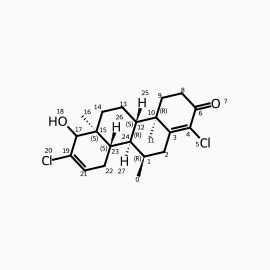 C[C@@H]1CC2=C(Cl)C(=O)CC[C@]2(C)[C@H]2CC[C@]3(C)C(O)C(Cl)=CC[C@H]3[C@H]12